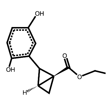 CCOC(=O)[C@@]12C[C@H]1C2c1cc(O)ccc1O